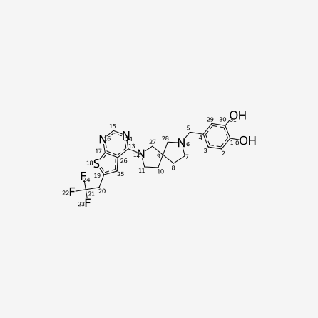 Oc1ccc(CN2CCC3(CCN(c4ncnc5sc(CC(F)(F)F)cc45)C3)C2)cc1O